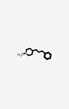 CN1CCC(CCCc2ccccc2)CC1